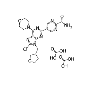 NC(=O)c1ncc(-c2nc(N3CCOCC3)c3nc(Cl)n(CC4CCOC4)c3n2)cn1.O=C(O)O.O=C(O)O